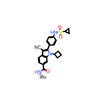 CCC(C)NC(=O)c1ccc2c(C#N)c(-c3ccc(NS(=O)(=O)C4CC4)cc3)n(C3CCC3)c2c1